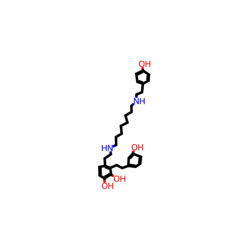 Oc1ccc(CCNCCCCCCCCNCCc2ccc(O)c(O)c2CCc2cccc(O)c2)cc1